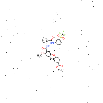 COC(=O)C1CCC(Oc2cc(C(=O)NC3C4CCC(C4)C3C(=O)Nc3cccc(S(=O)(=O)C(F)(F)F)c3)c(OC)cc2C)CC1